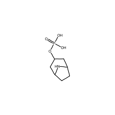 O=P(O)(O)OC1CC2CCC(C1)N2